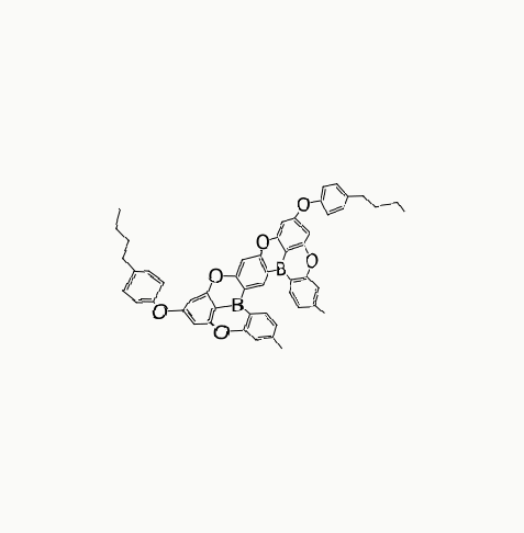 CCCCc1ccc(Oc2cc3c4c(c2)Oc2cc5c(cc2B4c2ccc(C)cc2O3)B2c3ccc(C)cc3Oc3cc(Oc4ccc(CCCC)cc4)cc(c32)O5)cc1